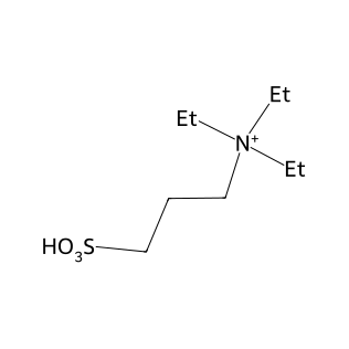 CC[N+](CC)(CC)CCCS(=O)(=O)O